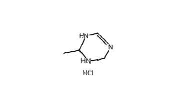 CC1NC=NCN1.Cl